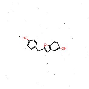 Oc1ccc(Cc2cc3cc(O)ccc3o2)cc1